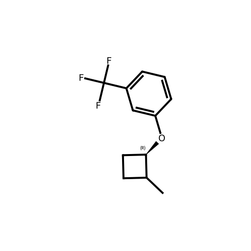 CC1CC[C@H]1Oc1cccc(C(F)(F)F)c1